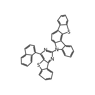 c1ccc2c(-c3nc(-n4c5ccccc5c5c6sc7ccccc7c6ccc54)nc4c3sc3ccccc34)cccc2c1